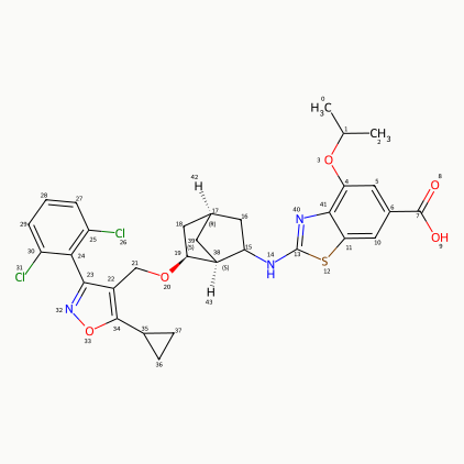 CC(C)Oc1cc(C(=O)O)cc2sc(NC3C[C@@H]4C[C@H](OCc5c(-c6c(Cl)cccc6Cl)noc5C5CC5)[C@H]3C4)nc12